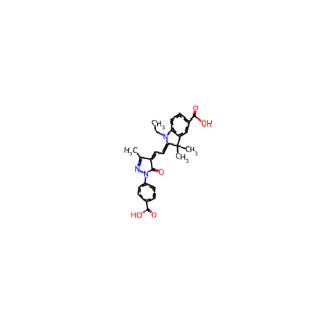 CCN1C(=CC=C2C(=O)N(c3ccc(C(=O)O)cc3)N=C2C)C(C)(C)c2cc(C(=O)O)ccc21